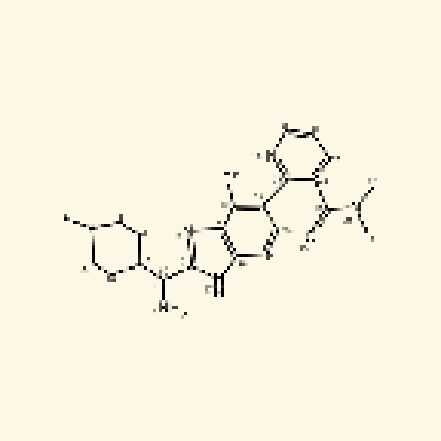 CC1CCC([C@H](N)c2nc3c(F)c(-c4ncccc4C(=O)N(C)C)ccc3[nH]2)CC1